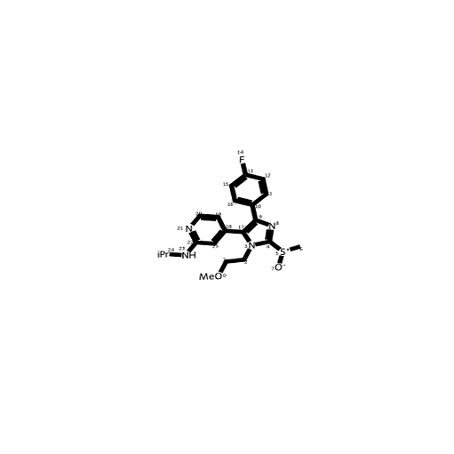 COCCn1c([S+](C)[O-])nc(-c2ccc(F)cc2)c1-c1ccnc(NC(C)C)c1